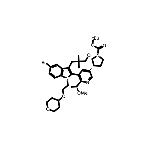 CO[C@@H](C)c1ncc([C@H]2CCN(C(=O)OC(C)(C)C)C2)cc1-c1c(CC(C)(C)CO)c2cc(Br)ccc2n1CCOC1CCOCC1